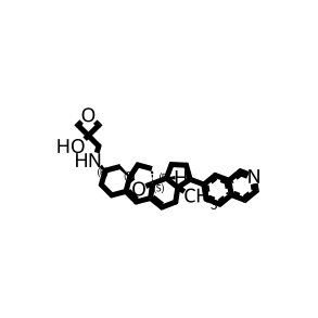 CC12CC=C3C=C4CC[C@@H](NCC5(O)COC5)C[C@]45CC[C@]3(O5)[C@@H]1CCC2c1ccc2ccncc2c1